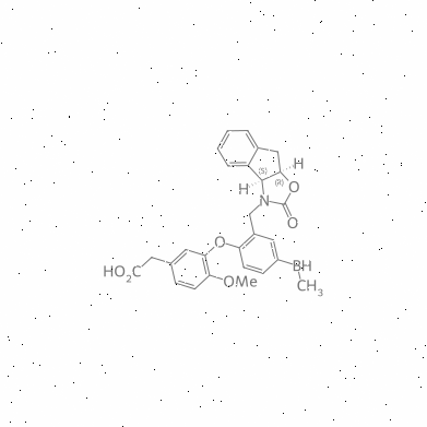 CBc1ccc(Oc2cc(CC(=O)O)ccc2OC)c(CN2C(=O)O[C@@H]3Cc4ccccc4[C@@H]32)c1